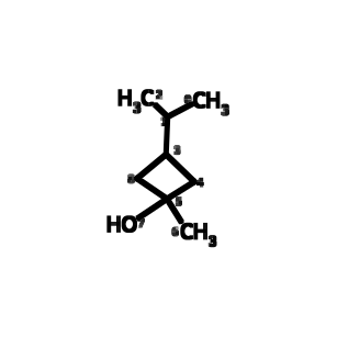 CC(C)C1CC(C)(O)C1